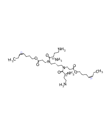 CC/C=C\CCCOC(=O)CCN(CCCCN(CCC(=O)OCCC/C=C\CC)C(=O)[C@@H](N)CCN)C(=O)[C@@H](N)CCN